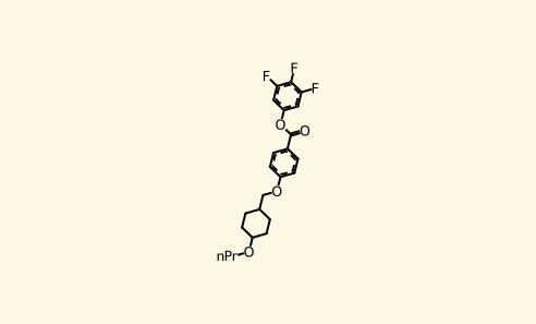 CCCOC1CCC(COc2ccc(C(=O)Oc3cc(F)c(F)c(F)c3)cc2)CC1